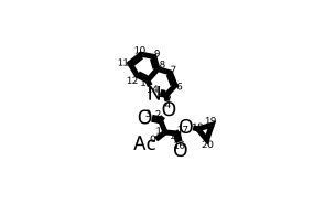 CC(=O)C(C(=O)Oc1ccc2ccccc2n1)C(=O)OC1CC1